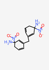 NC1([N+](=O)[O-])C=C(CC2=CC(N)([N+](=O)[O-])CC=C2)C=CC1